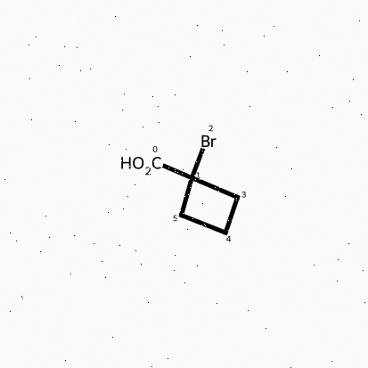 O=C(O)C1(Br)CCC1